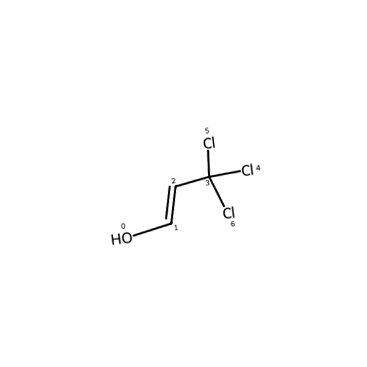 OC=CC(Cl)(Cl)Cl